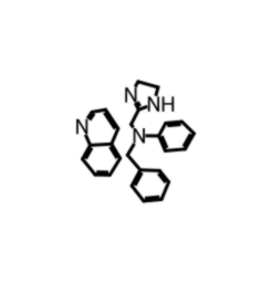 c1ccc(CN(CC2=NCCN2)c2ccccc2)cc1.c1ccc2ncccc2c1